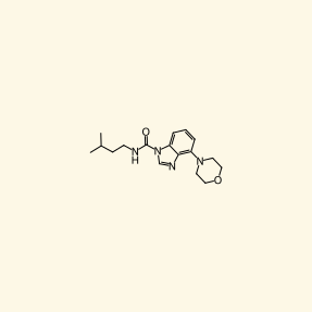 CC(C)CCNC(=O)n1cnc2c(N3CCOCC3)cccc21